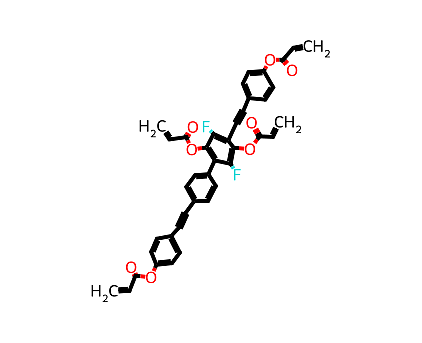 C=CC(=O)Oc1ccc(C#Cc2ccc(-c3c(F)c(OC(=O)C=C)c(C#Cc4ccc(OC(=O)C=C)cc4)c(F)c3OC(=O)C=C)cc2)cc1